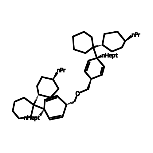 CCCCCCC[C@]1(C2([C@H]3CC[C@H](CCC)CC3)CCCCC2)C=C[C@H](COC[C@H]2C=C[C@](CCCCCCC)(C3([C@H]4CC[C@H](CCC)CC4)CCCCC3)C=C2)C=C1